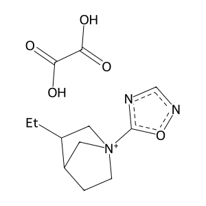 CCC1C[N+]2(c3ncno3)CCC1C2.O=C(O)C(=O)O